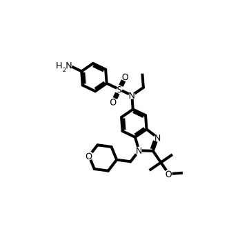 CCN(c1ccc2c(c1)nc(C(C)(C)OC)n2CC1CCOCC1)S(=O)(=O)c1ccc(N)cc1